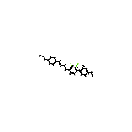 CCCC1CCC(/C=C/CCc2ccc(-c3ccc(CC)cc3F)c(F)c2F)CC1